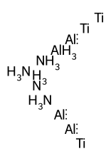 N.N.N.N.[AlH3].[Al].[Al].[Al].[Ti].[Ti].[Ti]